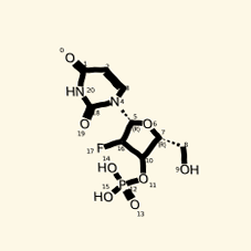 O=c1ccn([C@@H]2O[C@H](CO)C(OP(=O)(O)O)C2F)c(=O)[nH]1